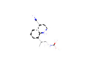 CC(CNC(=O)O)c1cccc2c(C#N)ccnc12